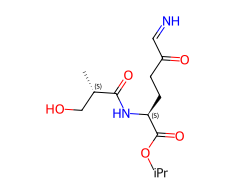 CC(C)OC(=O)[C@H](CCC(=O)C=N)NC(=O)[C@@H](C)CO